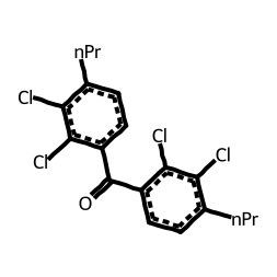 CCCc1ccc(C(=O)c2ccc(CCC)c(Cl)c2Cl)c(Cl)c1Cl